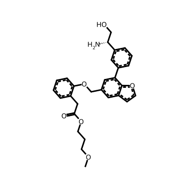 COCCCOC(=O)Cc1ccccc1OCc1cc(-c2cccc([C@H](N)CO)c2)c2occc2c1